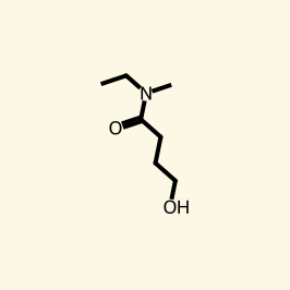 CCN(C)C(=O)CCCO